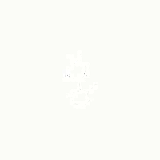 CC1(C)CN=C(c2ccccc2F)NC1